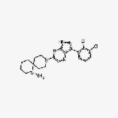 N[C@@H]1CCCCC12CCN(c1cnc3c(-c4cccc(Cl)c4Cl)n[nH]c3n1)CC2